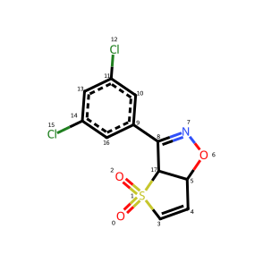 O=S1(=O)C=CC2ON=C(c3cc(Cl)cc(Cl)c3)C21